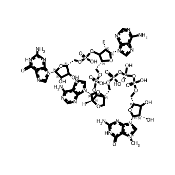 C[n+]1cn([C@@H]2O[C@H](COP(=O)(O)OP(=O)(O)OP(=O)(O)OC[C@]34CO[C@@H](C3OP(=O)(O)OC[C@H]3O[C@@H](n5cnc6c(N)ncnc65)[C@@H](F)C3OP(=O)(O)OC[C@H]3O[C@@H](n5cnc6c(=O)[nH]c(N)nc65)[C@@H](O)C3O)[C@H](n3cnc5c(N)ncnc53)O4)C(O)[C@@H]2O)c2nc(N)[nH]c(=O)c21